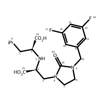 CC(C)C[C@H](N[C@@H](CN1CCN(Cc2cc(F)cc(F)c2)C1=O)C(=O)O)C(=O)O